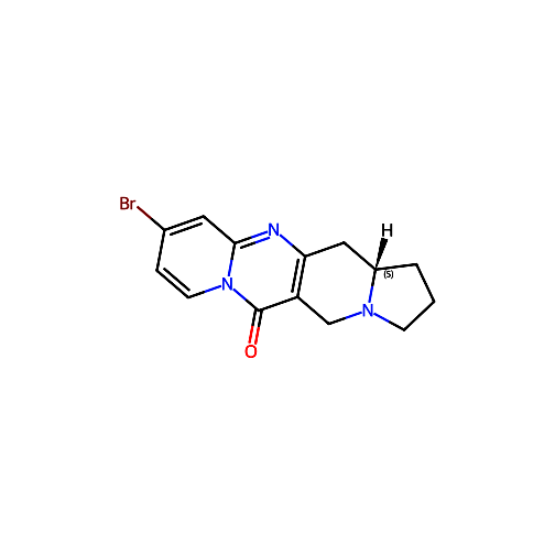 O=c1c2c(nc3cc(Br)ccn13)C[C@@H]1CCCN1C2